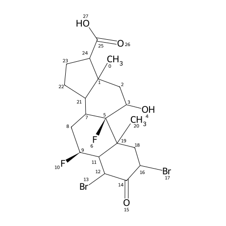 CC12CC(O)[C@@]3(F)C(C[C@H](F)C4C(Br)C(=O)C(Br)CC43C)C1CCC2C(=O)O